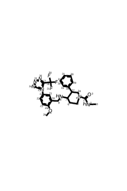 CNC(=O)N1CCC(NCc2cc(-n3nnnc3C(F)(F)F)ccc2OC)C(c2ccccc2)C1